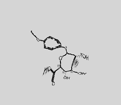 COc1ccc(OC2O[C@H](C(=O)O)[C@@H](O)[C@H](O)[C@H]2O)cc1